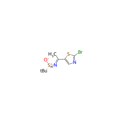 CC(=N[S@@+]([O-])C(C)(C)C)c1cnc(Br)s1